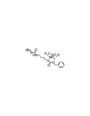 CC(C)(C)OC(=O)NCCCC[C@H](N)C(=O)OCc1ccccc1.CS(=O)(=O)O